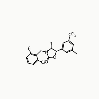 Cc1cc([C@H]2OC(=O)N(Cc3c(F)cccc3Cl)[C@H]2C)cc(C(F)(F)F)c1